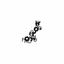 COc1cc(/C=C2\OCCn3c2nc(=O)c(CO)c3-c2ccc(F)cc2)ccc1-n1cnc(C)c1